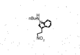 CCCCNn1cc(CC[N+](=O)[O-])c2ccccc21